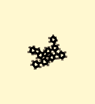 c1ccc(-c2ccc(N(c3ccccc3)c3ccc4c(c3)C3(c5cc(-c6ccccc6)ccc5-4)c4ccccc4-c4c3ccc3c4sc4ccccc43)cc2)cc1